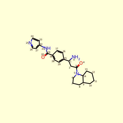 NC(CC(=O)N1CCCC2CCCCC21)c1ccc(C(=O)Nc2ccncc2)cc1